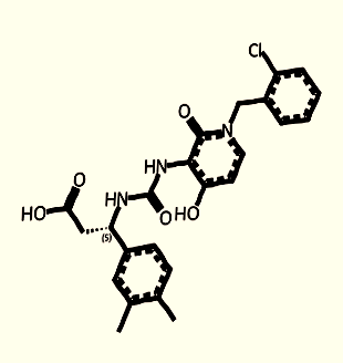 Cc1ccc([C@H](CC(=O)O)NC(=O)Nc2c(O)ccn(Cc3ccccc3Cl)c2=O)cc1C